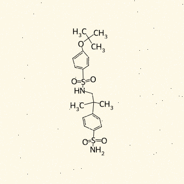 CC(C)(C)Oc1ccc(S(=O)(=O)NCC(C)(C)c2ccc(S(N)(=O)=O)cc2)cc1